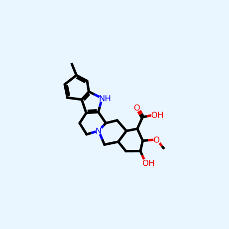 COC1C(O)CC2CN3CCc4c([nH]c5cc(C)ccc45)C3CC2C1C(=O)O